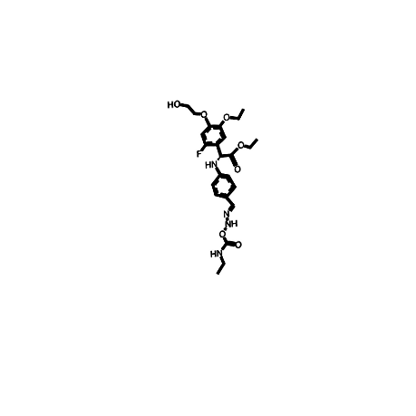 CCNC(=O)ONN=Cc1ccc(N[C@@H](C(=O)OCC)c2cc(OCC)c(OCCO)cc2F)cc1